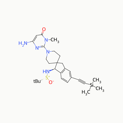 Cn1c(N2CCC3(CC2)Cc2cc(C#C[Si](C)(C)C)ccc2[C@H]3N[S@+]([O-])C(C)(C)C)nc(N)cc1=O